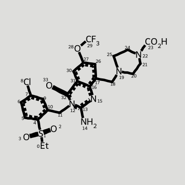 CCS(=O)(=O)c1ccc(Cl)cc1Cn1c(N)nc2c(CN3CCN(C(=O)O)CC3)cc(OC(F)(F)F)cc2c1=O